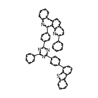 c1ccc(-c2ccc3ccc4c5ccccc5nc(-c5ccc(-c6nc(-c7ccccc7)nc(-c7ccc(-c8cccc9c8sc8ccccc89)cc7)n6)cc5)c4c3n2)cc1